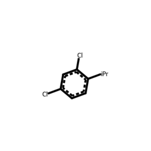 CC(C)c1ccc(Cl)cc1Cl